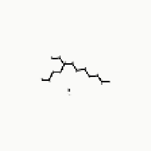 CCCCCCCC(CC)CCCC.[K]